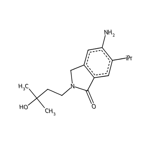 CC(C)c1cc2c(cc1N)CN(CCC(C)(C)O)C2=O